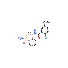 COc1ccc(Cl)c(C(=O)NC(C)c2ccccc2S(N)(=O)=O)c1